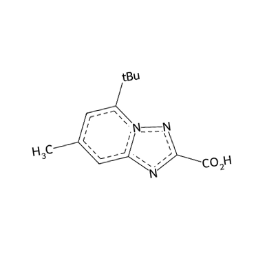 Cc1cc(C(C)(C)C)n2nc(C(=O)O)nc2c1